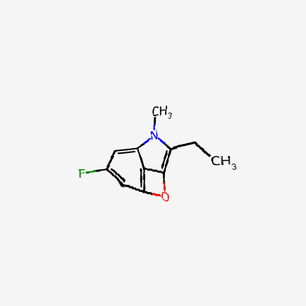 CCc1c2c3c(cc(F)cc3n1C)O2